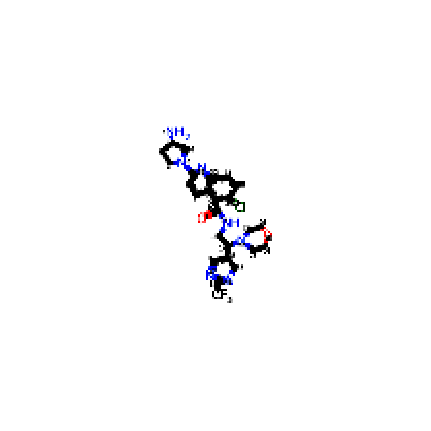 N[C@@H]1CCN(c2ccc3c(C(=O)NCC(c4cnc(C(F)(F)F)nc4)N4CCOCC4)c(Cl)ccc3n2)C1